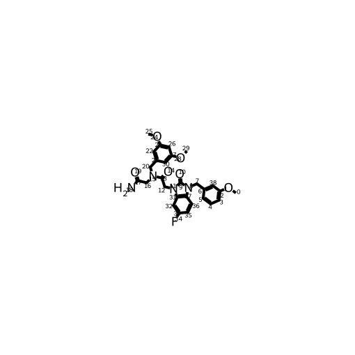 COc1cccc(Cn2c(=O)n(CC(=O)N(CC(N)=O)Cc3cc(OC)cc(OC)c3)c3cc(F)ccc32)c1